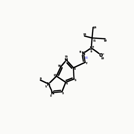 Cn1ncc2cc(/C=N/[S+]([O-])C(C)(C)C)ncc21